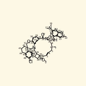 CO[C@H]1/C=C/C[C@H](C)C[S@@](=O)(Nc2nc(N(C)C)nc3nn(C)cc23)=NC(=O)c2ccc3c(c2)N(C[C@@H]2CC[C@H]21)C[C@@]1(CCCc2cc(Cl)ccc21)CO3